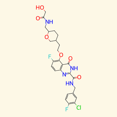 O=C(CO)NCC1CCC(CCOc2c(F)ccc3nc(C(=O)NCc4ccc(F)c(Cl)c4)[nH]c(=O)c23)CO1